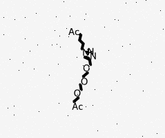 CC(=O)CCCCn1cc(COCCOCCOCCC(C)=O)nn1